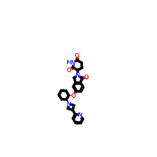 O=C1CCC(N2Cc3cc(O[C@H]4CCCC[C@@H]4N4CC(c5ccccn5)C4)ccc3C2=O)C(=O)N1